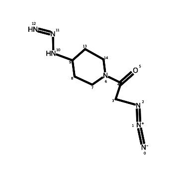 [N-]=[N+]=NCC(=O)N1CCC(NN=N)CC1